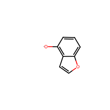 [O]c1cccc2occc12